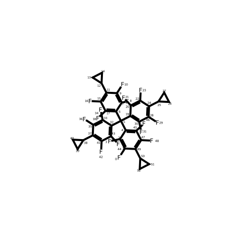 Fc1c(F)c(C(c2c(F)c(F)c(C3CC3)c(F)c2F)(c2c(F)c(F)c(C3CC3)c(F)c2F)c2c(F)c(F)c(C3CC3)c(F)c2F)c(F)c(F)c1C1CC1